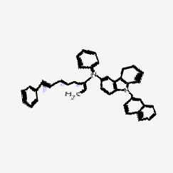 C=C\C(=C/C=C/C=C/c1ccccc1)N(c1ccccc1)c1ccc2c(c1)c1c(n2-c2ccc3ccccc3c2)C=CCC1